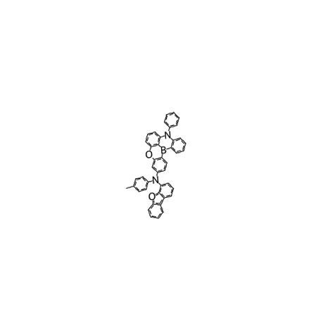 Cc1ccc(N(c2ccc3c(c2)Oc2cccc4c2B3c2ccccc2N4c2ccccc2)c2cccc3c2oc2ccccc23)cc1